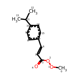 COOC(=O)C=Cc1ccc(C(C)C)cc1